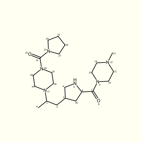 CC(CC1CNC(C(=O)N2CCN(C)CC2)C1)N1CCN(C(=O)N2CCCC2)CC1